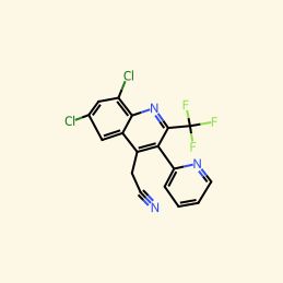 N#CCc1c(-c2ccccn2)c(C(F)(F)F)nc2c(Cl)cc(Cl)cc12